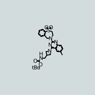 Cc1ccc2nc(N3CCS(=O)(=O)c4ccccc4C3)nc(N3CC(CNC(=O)OC(C)(C)C)C3)c2c1